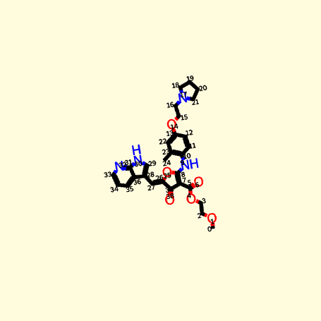 COCCOC(=O)C1=C(Nc2ccc(OCCN3CCCC3)cc2C)O/C(=C\c2c[nH]c3ncccc23)C1=O